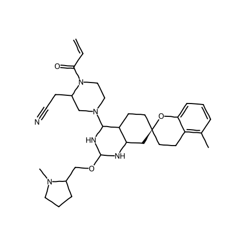 C=CC(=O)N1CCN(C2NC(OCC3CCCN3C)NC3C[C@@]4(CCc5c(C)cccc5O4)CCC32)CC1CC#N